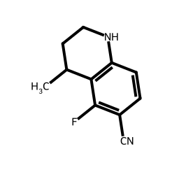 CC1CCNc2ccc(C#N)c(F)c21